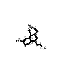 N#CCCc1cc2cc[n+]([O-])cc2c2cc(Br)ccc12